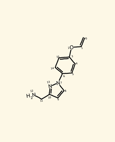 C=COc1ccc(-n2ccc(CN)n2)cc1